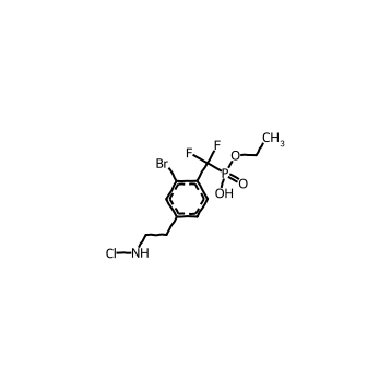 CCOP(=O)(O)C(F)(F)c1ccc(CCNCl)cc1Br